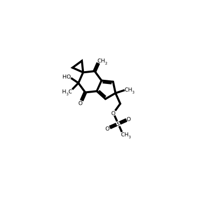 C=C1C2=CC(C)(COS(C)(=O)=O)C=C2C(=O)C(C)(O)C12CC2